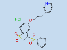 Cl.O=S1(=O)CC(S(=O)(=O)c2ccccc2)c2cc(OCCCc3cccnc3)ccc21